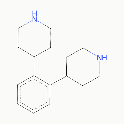 c1ccc(C2CCNCC2)c(C2CCNCC2)c1